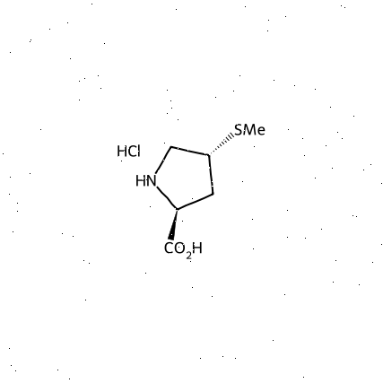 CS[C@H]1CN[C@H](C(=O)O)C1.Cl